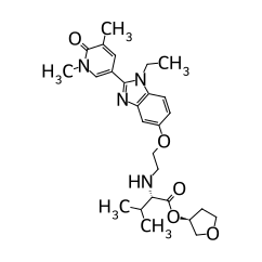 CCn1c(-c2cc(C)c(=O)n(C)c2)nc2cc(OCCN[C@H](C(=O)O[C@H]3CCOC3)C(C)C)ccc21